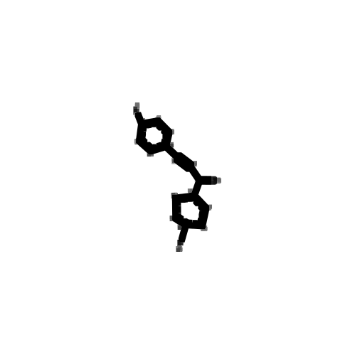 O=C(C#Cc1ccc(F)cc1)c1ccc(F)cc1